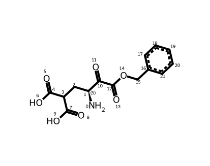 N[C@@H](CC(C(=O)O)C(=O)O)C(=O)C(=O)OCc1ccccc1